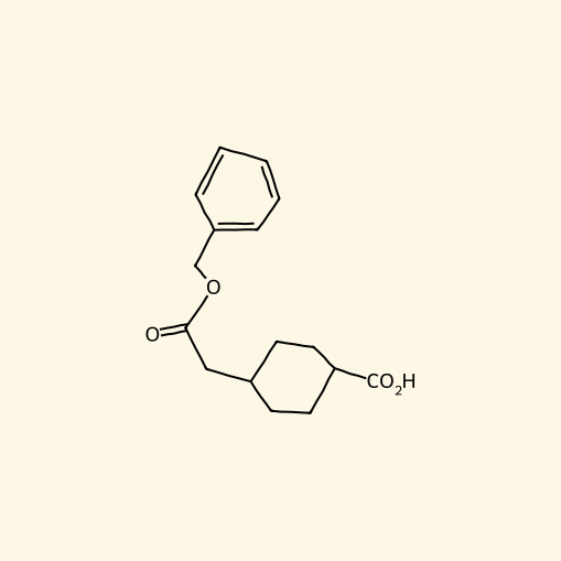 O=C(CC1CCC(C(=O)O)CC1)OCc1ccccc1